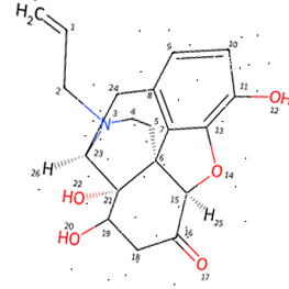 C=CCN1CC[C@]23c4c5ccc(O)c4O[C@H]2C(=O)CC(O)[C@@]3(O)[C@H]1C5